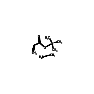 C=CC(=O)O[N+](C)(C)C.CN